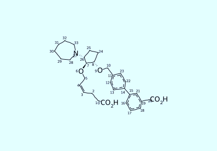 O=C(O)CC/C=C\CO[C@@H]1[C@@H](OCc2ccc(-c3cccc(C(=O)O)c3)cc2)CC[C@H]1N1CCCCCC1